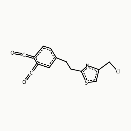 O=C=c1ccc(CCc2nc(CCl)cs2)cc1=C=O